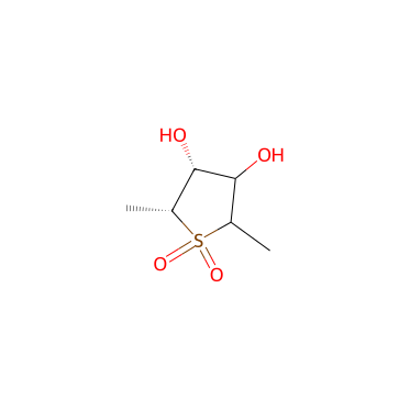 CC1C(O)[C@@H](O)[C@@H](C)S1(=O)=O